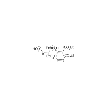 CCOC(=O)/C=C\C(=O)OCC.CCOC(=O)/C=C\C(=O)OCC.O=C(O)/C=C\C(=O)O